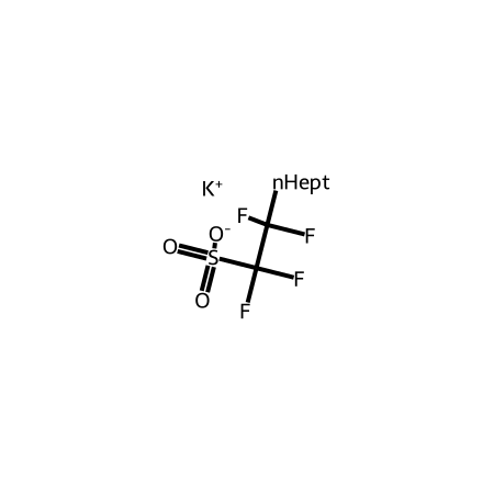 CCCCCCCC(F)(F)C(F)(F)S(=O)(=O)[O-].[K+]